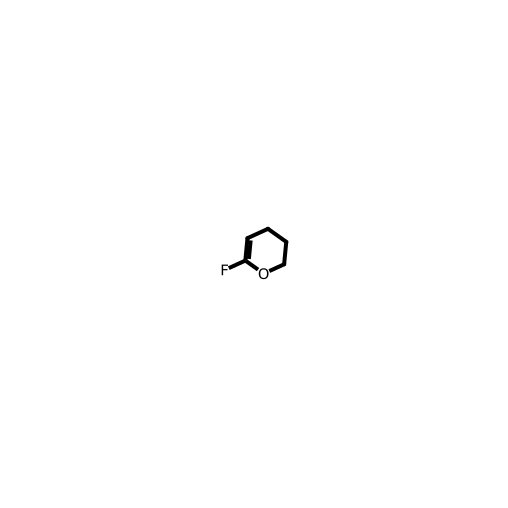 FC1=CCCCO1